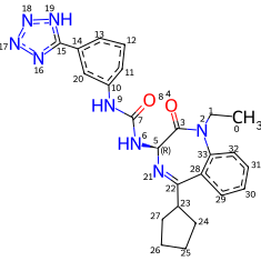 CCN1C(=O)[C@H](NC(=O)Nc2cccc(-c3nnn[nH]3)c2)N=C(C2CCCC2)c2ccccc21